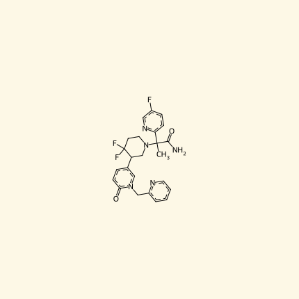 CC(C(N)=O)(c1ccc(F)cn1)N1CCC(F)(F)C(c2ccc(=O)n(Cc3ccccn3)c2)C1